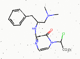 CCOC(=O)C(Cl)n1ccnc(NC(Cc2ccccc2)CN(C)C)c1=O